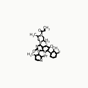 C=CC(=O)N1CC(C)N(c2nc(=O)n(-c3c(C)ccnc3C(C)C)c3nc(-c4cccc(F)c4C)c(Cl)cc23)CC1C